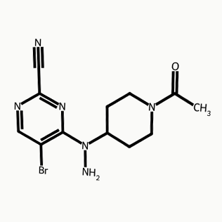 CC(=O)N1CCC(N(N)c2nc(C#N)ncc2Br)CC1